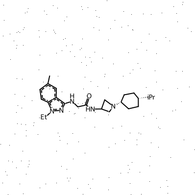 CCn1nc(NCC(=O)NC2CN([C@H]3CC[C@@H](C(C)C)CC3)C2)c2cc(C)ccc21